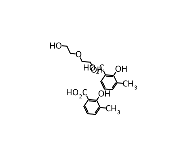 Cc1cccc(C(=O)O)c1O.Cc1cccc(C(=O)O)c1O.OCCOCCO